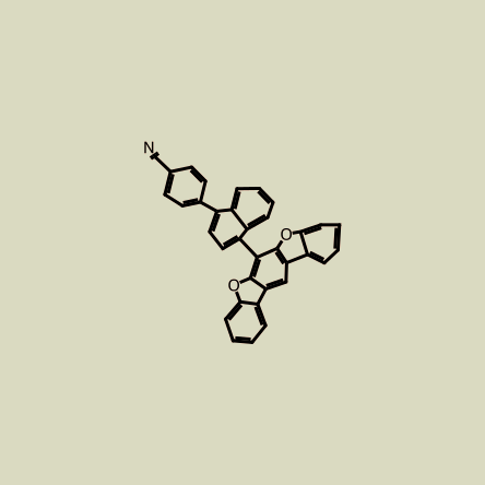 N#Cc1ccc(-c2ccc(-c3c4oc5ccccc5c4cc4c3oc3ccccc34)c3ccccc23)cc1